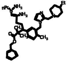 CCCN(N)/C=C(\N)CCC(c1ccc(C)c(Cn2ccnc2CN2CCC(CC)CC2)c1)C(C)(C)C(=O)OCc1ccccc1